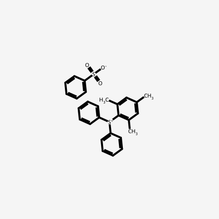 Cc1cc(C)c([S+](c2ccccc2)c2ccccc2)c(C)c1.O=S(=O)([O-])c1ccccc1